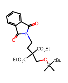 CCOC(=O)C(CCN1C(=O)c2ccccc2C1=O)(CO[Si](C)(C)C(C)(C)C)C(=O)OCC